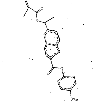 C=C(C)C(=O)OC(C)c1ccc2cc(C(=O)Oc3ccc(OC)cc3)ccc2c1